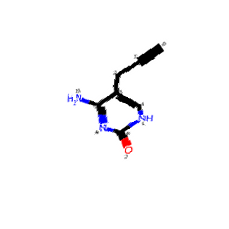 C#CCc1c[nH]c(=O)nc1N